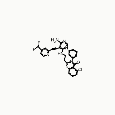 Nc1ncnc(NCCc2nc3cccc(Cl)c3c(=O)n2-c2ccccc2)c1C#Cc1cc(C(F)F)ccn1